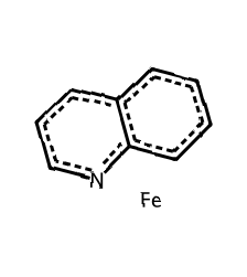 [Fe].c1ccc2ncccc2c1